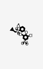 COc1ccc(Oc2c(Cl)cc([N+](=O)[O-])cc2Cl)cc1S(=O)(=O)CC1CC1